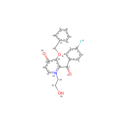 O=C(c1ccc(F)cc1)c1c(OCc2ccccc2)c(=O)ccn1CCO